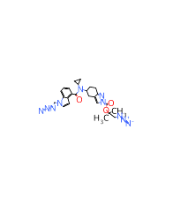 CC(C)(CN=[N+]=[N-])OC(=O)n1cc2c(n1)CCC(N(C(=O)c1cccc3c1ccn3CN=[N+]=[N-])C1CC1)C2